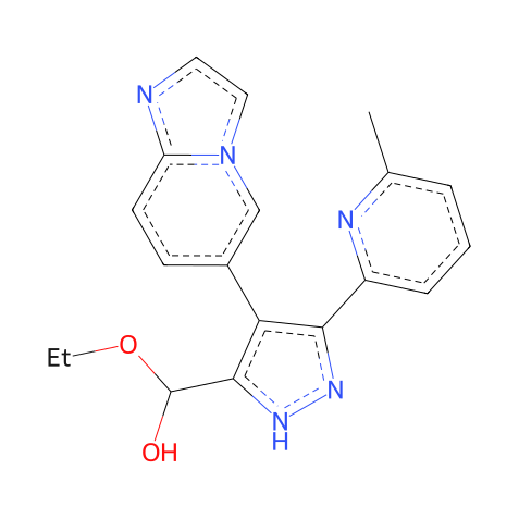 CCOC(O)c1[nH]nc(-c2cccc(C)n2)c1-c1ccc2nccn2c1